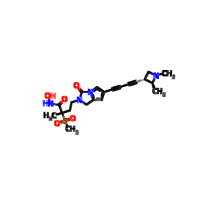 C[C@H]1[C@H](C#CC#Cc2cc3n(c2)C(=O)N(CCC(C)(C(=O)NO)S(C)(=O)=O)C3)CN1C